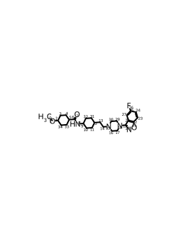 COC1CCC(C(=O)NC2CCC(CCN3CCN(c4noc5ccc(F)cc45)CC3)CC2)CC1